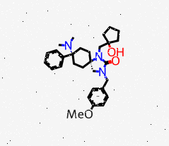 COc1ccc(CN2C[C@]3(CC[C@@](c4ccccc4)(N(C)C)CC3)N(CC3(O)CCCC3)C2=O)cc1